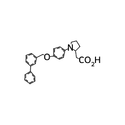 O=C(O)CC1CCCN1c1ccc(OCc2cccc(-c3ccccc3)c2)cc1